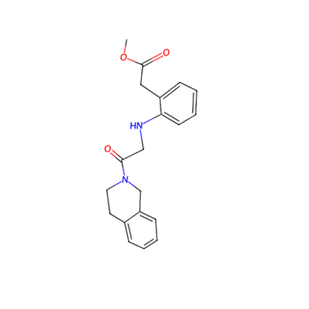 COC(=O)Cc1ccccc1NCC(=O)N1CCc2ccccc2C1